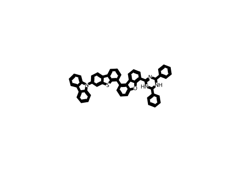 c1ccc(C2N=C(c3cccc4c3oc3cccc(-c5cccc6c5sc5cc(-n7c8ccccc8c8ccccc87)ccc56)c34)NC(c3ccccc3)N2)cc1